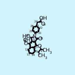 CCC(C)Oc1c2c(c(OC)c3ccccc13)C(O)N(c1ccc(CC(=O)O)cc1)C2=O